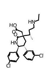 CCNCC[C@H](C)[C@]1(CC(=O)O)C[C@H](c2cccc(Cl)c2)[C@@H](c2ccc(Cl)cc2)NC1=O